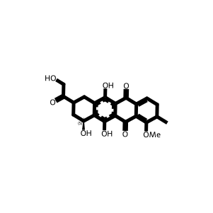 COC1=C2C(=O)c3c(O)c4c(c(O)c3C(=O)C2=CCC1C)CC(C(=O)CO)C[C@@H]4O